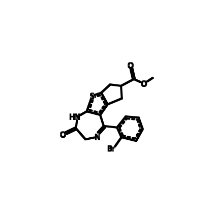 COC(=O)C1Cc2sc3c(c2C1)C(c1ccccc1Br)=NCC(=O)N3